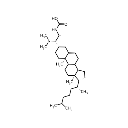 CC(C)CCC[C@@H](C)[C@H]1CCC2C3CC=C4C[C@@H](C([CH]NC(=O)O)N(C)C)CC[C@]4(C)C3CC[C@@]21C